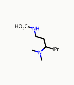 CC(C)C(CCNC(=O)O)N(C)C